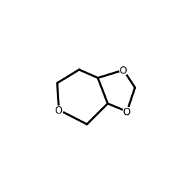 C1CC2OCOC2CO1